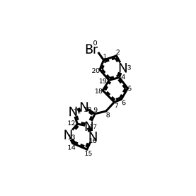 Brc1cnc2ccc(Cc3nnc4nccnn34)cc2c1